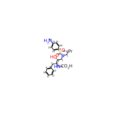 CC(C)CN(C[C@@H](O)[C@H](Cc1ccccc1)NC(=O)O)S(=O)(=O)c1ccc(N)cc1